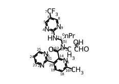 CCC[C@@H](Nc1ncc(C(F)(F)F)cn1)N(C)C(=O)c1nc(C)ccc1-c1ncccn1.O=CO